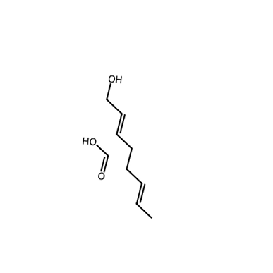 CC=CCCC=CCO.O=CO